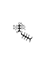 CC(C)(C)C(C)(C)C(=O)OCC(F)(F)C(F)(F)C(F)(F)C(F)F